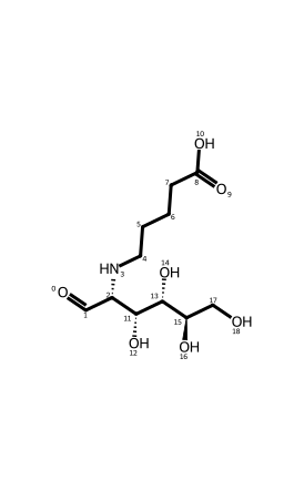 O=C[C@H](NCCCCC(=O)O)[C@@H](O)[C@H](O)[C@H](O)CO